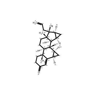 C=CC[C@]1(C#N)[C@H]2C[C@H]2[C@H]2[C@@H]3[C@H]4C[C@H]4C4=CC(=O)CC[C@]4(C)[C@H]3CC[C@@]21C